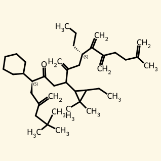 C=C(C)CCC(=C)C(=C)[C@@H](CCC)CC(=C)C(CC(=O)[C@@H](CC(=C)CC(C)(C)C)C1CCCCC1)C1C(CC)C1(C)C